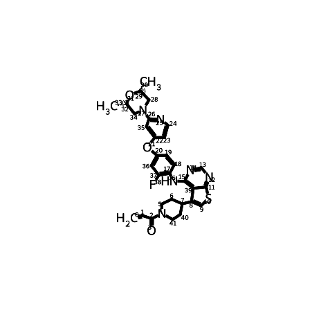 C=CC(=O)N1CCC(c2csc3ncnc(Nc4ccc(Oc5ccnc(N6C[C@@H](C)O[C@@H](C)C6)c5)cc4F)c23)CC1